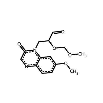 COCOC(C=O)Cn1c(=O)cnc2ccc(OC)cc21